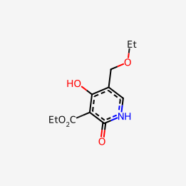 CCOCc1c[nH]c(=O)c(C(=O)OCC)c1O